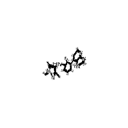 Cc1nn(C)c(C)c1Nc1cccc(-c2ccnc3nc[nH]c23)c1F